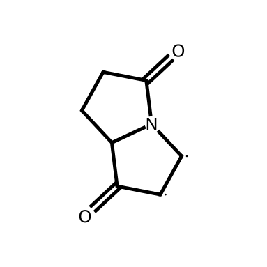 O=C1[CH][CH]N2C(=O)CCC12